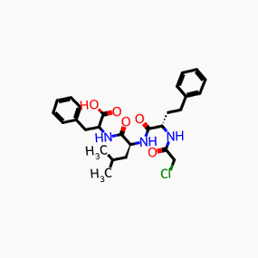 CC(C)C[C@H](NC(=O)[C@H](CCc1ccccc1)NC(=O)CCl)C(=O)NC(Cc1ccccc1)C(=O)O